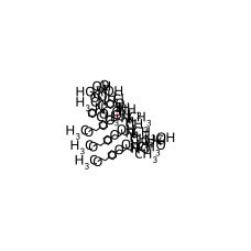 COCCc1ccc(OCC(O)CNC(C)C)cc1.COCCc1ccc(OCC(O)CNC(C)C)cc1.COCCc1ccc(OCC(O)CNC(C)C)cc1.Cc1ccccc1N1C(=O)c2cc(S(N)(=O)=O)c(Cl)cc2NC1C.Cl.O=C(O)C(O)C(O)C(=O)O.O=C(O)CCC(=O)O